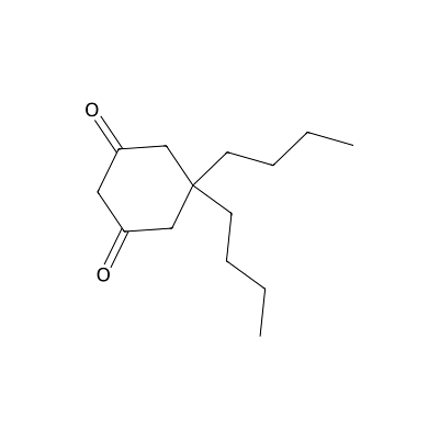 CCCCC1(CCCC)CC(=O)CC(=O)C1